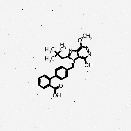 COc1nnc(O)c2c1nc(CC(C)(C)C)n2Cc1ccc(-c2ccccc2C(=O)O)cc1